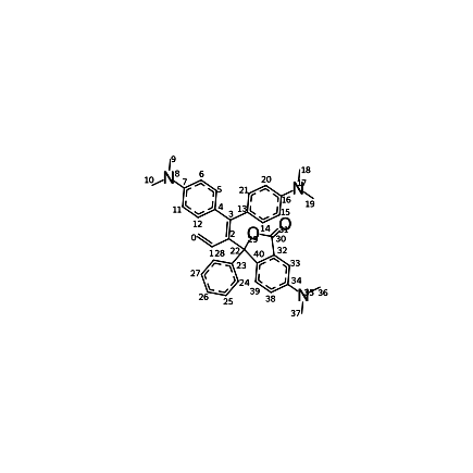 C=CC(=C(c1ccc(N(C)C)cc1)c1ccc(N(C)C)cc1)C1(c2ccccc2)OC(=O)c2cc(N(C)C)ccc21